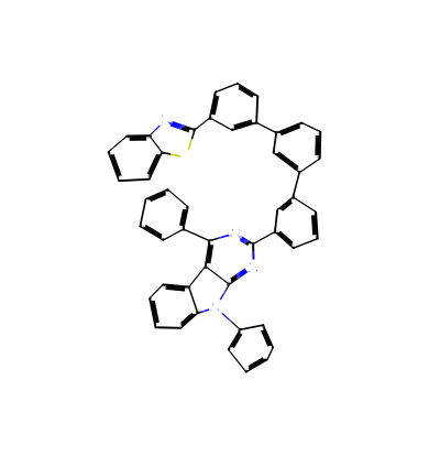 c1ccc(-c2nc(-c3cccc(-c4cccc(-c5cccc(-c6nc7ccccc7s6)c5)c4)c3)nc3c2c2ccccc2n3-c2ccccc2)cc1